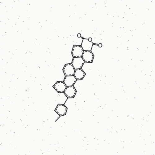 Cc1ccc(-c2ccc3c4ccc5c6ccc7c8c(ccc(c9ccc(c%10cccc2c%103)c4c95)c86)C(=O)OC7=O)cc1